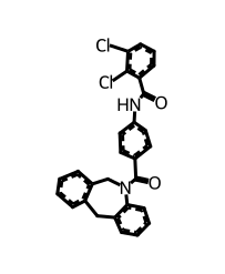 O=C(Nc1ccc(C(=O)N2Cc3ccccc3Cc3ccccc32)cc1)c1cccc(Cl)c1Cl